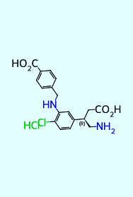 Cl.NC[C@H](CC(=O)O)c1ccc(Cl)c(NCc2ccc(C(=O)O)cc2)c1